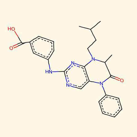 CC(C)CCN1c2nc(Nc3cccc(C(=O)O)c3)ncc2N(c2ccccc2)C(=O)C1C